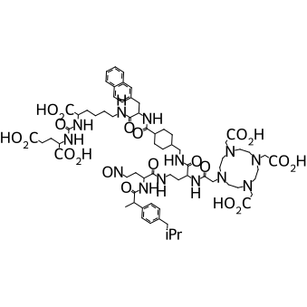 CC(C)Cc1ccc(C(C)C(=O)NC(CCN=O)C(=O)NCCC(NC(=O)CN2CCN(CC(=O)O)CCN(CC(=O)O)CCN(CC(=O)O)CC2)C(=O)NCC2CCC(C(=O)NC(Cc3ccc4ccccc4c3)C(=O)NCCCCC(NC(=O)NC(CCC(=O)O)C(=O)O)C(=O)O)CC2)cc1